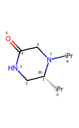 CC(C)[C@@H]1CNC(=O)CN1C(C)C